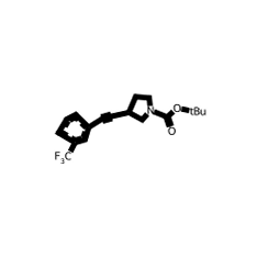 CC(C)(C)OC(=O)N1CCC(C#Cc2cccc(C(F)(F)F)c2)C1